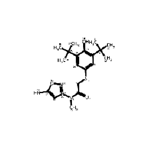 CN(C(=O)CSc1cc(C(C)(C)C)c(O)c(C(C)(C)C)c1)[n+]1cc([NH-])on1